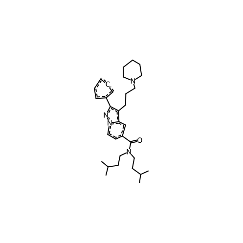 CC(C)CCN(CCC(C)C)C(=O)c1ccn2nc(-c3ccccc3)c(CCCN3CCCCC3)c2c1